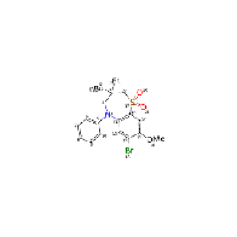 CCCCC1(CC)CN(c2ccccc2)c2cc(Br)c(OC)cc2S(=O)(=O)C1